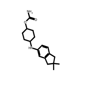 CC1(C)Cc2ccc(NC3CCC(OC(N)=O)CC3)cc2C1